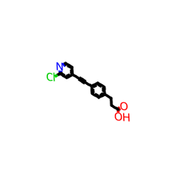 O=C(O)CCc1ccc(C#Cc2ccnc(Cl)c2)cc1